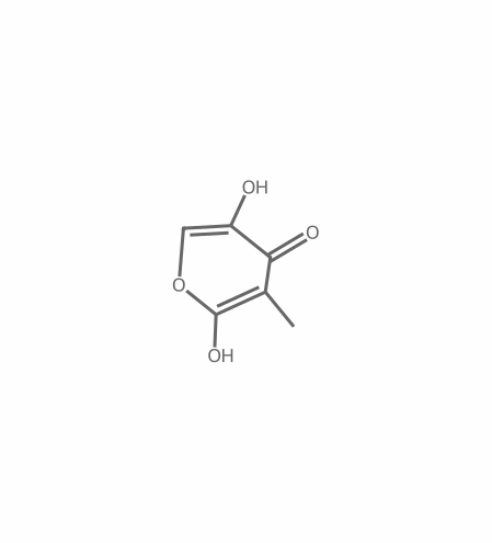 Cc1c(O)occ(O)c1=O